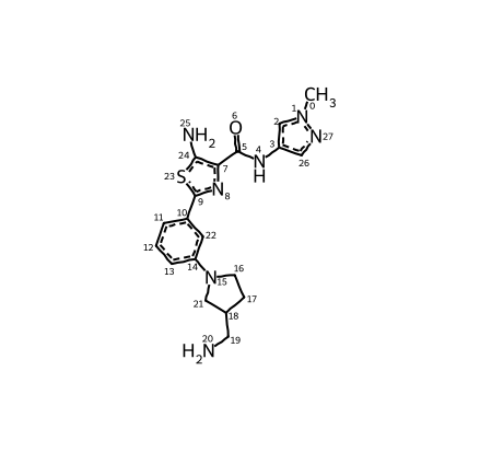 Cn1cc(NC(=O)c2nc(-c3cccc(N4CCC(CN)C4)c3)sc2N)cn1